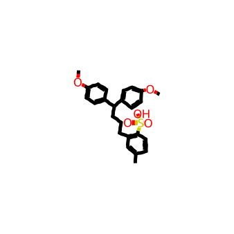 COc1ccc(C(CCCc2cc(C)ccc2S(=O)(=O)O)c2ccc(OC)cc2)cc1